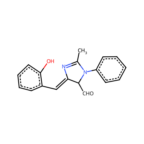 CC1=NC(=Cc2ccccc2O)C(C=O)N1c1ccccc1